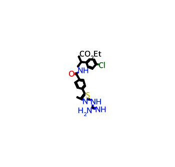 CCOC(=O)CC(CNC(=O)c1ccc(-c2sc(NC(=N)N)nc2C)cc1)c1ccc(Cl)cc1